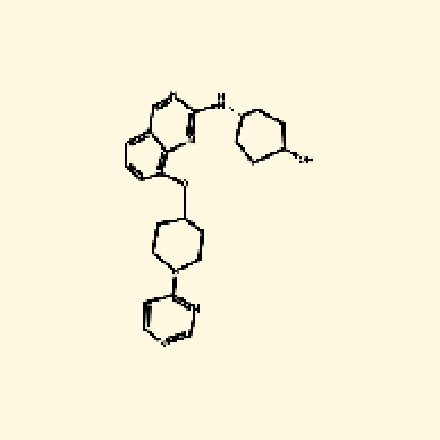 O[C@H]1CC[C@H](Nc2ncc3cccc(OC4CCN(c5ccncn5)CC4)c3n2)CC1